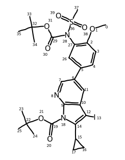 COc1ccc(-c2cnc3c(c2)c(I)c(C2CC2)n3C(=O)OC(C)(C)C)cc1N(C(=O)OC(C)(C)C)S(C)(=O)=O